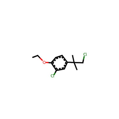 CCOc1ccc(C(C)(C)CCl)cc1Cl